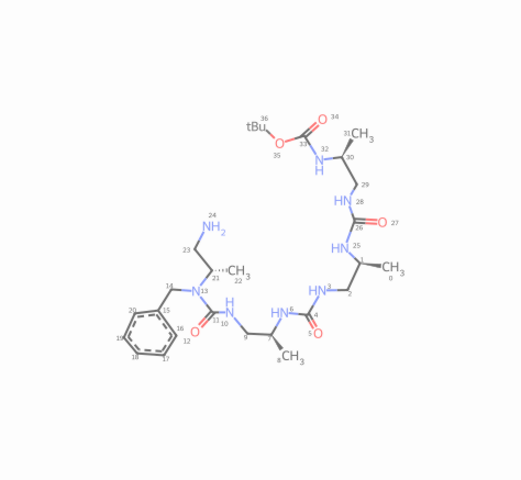 C[C@@H](CNC(=O)N[C@@H](C)CNC(=O)N(Cc1ccccc1)[C@@H](C)CN)NC(=O)NC[C@H](C)NC(=O)OC(C)(C)C